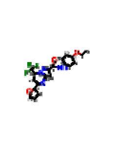 CCOc1ccc(NC(=O)c2cc3nc(-c4ccco4)cc(C(F)(F)F)n3n2)cc1